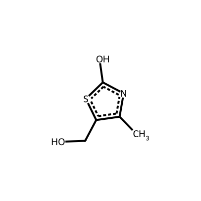 Cc1nc(O)sc1CO